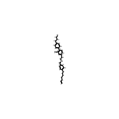 C=CCCCCCc1ccc(C=NN=Cc2ccc(-c3ccc(CCCC)cc3)c(F)c2)cc1